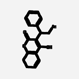 CC(=O)CC(c1ccccc1)c1c(O)c2c(oc1=O)CCC=C2